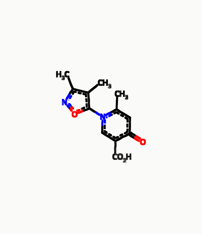 Cc1noc(-n2cc(C(=O)O)c(=O)cc2C)c1C